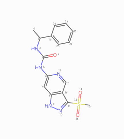 CC(NC(=O)Nc1cc2[nH]nc(S(C)(=O)=O)c2cn1)c1ccccc1